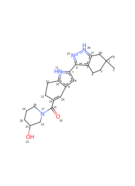 CC1(C)CCc2c(-c3cc4c([nH]3)CCC(C(=O)N3CCCC(O)C3)=C4)n[nH]c2C1